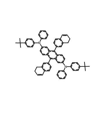 CC(C)(C)c1ccc(N(c2ccccc2)c2ccc3c(-c4ccc5c(c4)CCC=C5)c4cc(N(c5ccccc5)c5ccc(C(C)(C)C)cc5)ccc4c(-c4ccc5c(c4)CCC=C5)c3c2)cc1